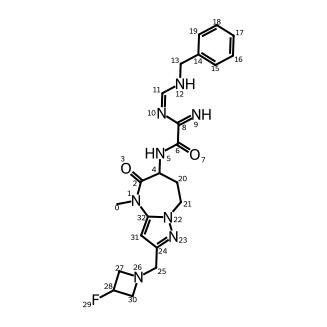 CN1C(=O)C(NC(=O)C(=N)/N=C\NCc2ccccc2)CCn2nc(CN3CC(F)C3)cc21